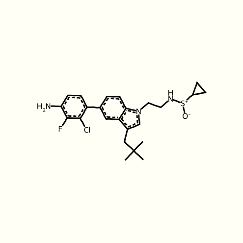 CC(C)(C)Cc1cn(CCN[S+]([O-])C2CC2)c2ccc(-c3ccc(N)c(F)c3Cl)cc12